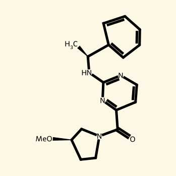 CO[C@@H]1CCN(C(=O)c2ccnc(N[C@@H](C)c3ccccc3)n2)C1